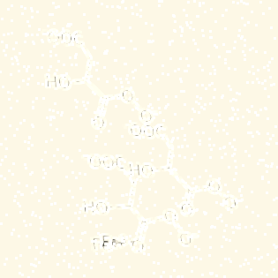 O=C([O-])CC(O)C(=O)O[O-].O=C([O-])CC(O)C(=O)O[O-].O=C([O-])CC(O)C(=O)O[O-].[Fe+3].[Fe+3]